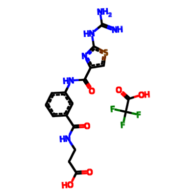 N=C(N)Nc1nc(C(=O)Nc2cccc(C(=O)NCCC(=O)O)c2)cs1.O=C(O)C(F)(F)F